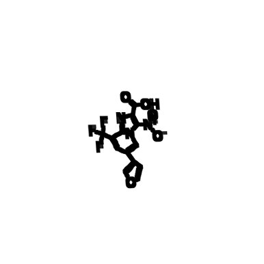 O=C(O)c1nc2c(C(F)(F)F)cc(-c3ccoc3)cn2c1[N+](=O)[O-]